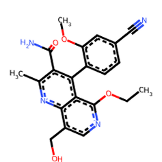 CCOc1ncc(CO)c2nc(C)c(C(N)=O)c(-c3ccc(C#N)cc3OC)c12